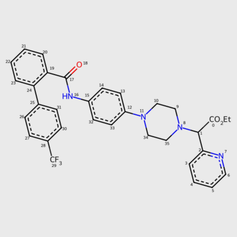 CCOC(=O)C(c1ccccn1)N1CCN(c2ccc(NC(=O)c3ccccc3-c3ccc(C(F)(F)F)cc3)cc2)CC1